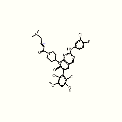 COc1cc(OC)c(Cl)c(-c2cc3cnc(Nc4ccc(F)c(Cl)c4)nc3n(C3CCN(C(=O)/C=C/CN(C)C)CC3)c2=O)c1Cl